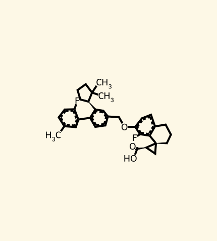 Cc1ccc(F)c(-c2ccc(COc3ccc4c(c3F)[C@]3(CCC4)C[C@H]3C(=O)O)cc2[C@H]2CCCC2(C)C)c1